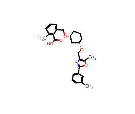 Cc1cccc(-c2nc(CO[C@H]3CCC[C@@H](OCc4cccc(C)c4C(=O)O)C3)c(C)o2)c1